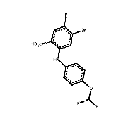 O=C(O)c1cc(F)c(Br)cc1Nc1ccc(OC(F)F)cc1